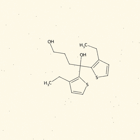 CCc1ccsc1C(O)(CCCO)c1sccc1CC